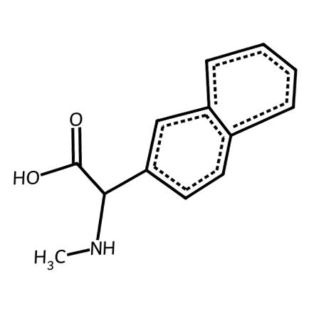 CNC(C(=O)O)c1ccc2ccccc2c1